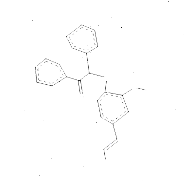 C/C=C/c1ccc(OC(C(=O)c2ccccc2)c2ccccc2)c(OC)c1